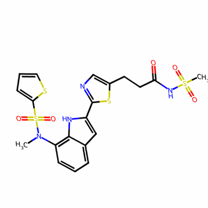 CN(c1cccc2cc(-c3ncc(CCC(=O)NS(C)(=O)=O)s3)[nH]c12)S(=O)(=O)c1cccs1